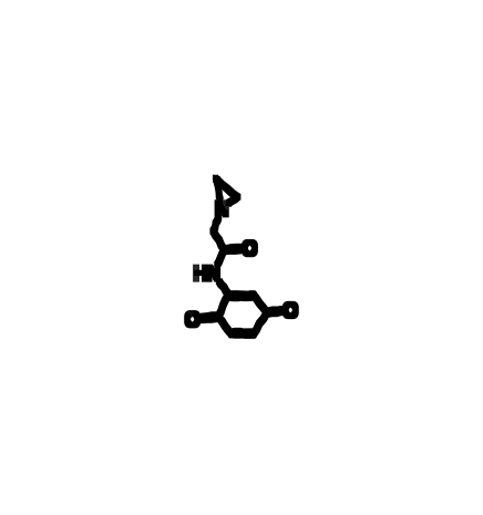 O=C1C=CC(=O)C(NC(=O)CN2CC2)=C1